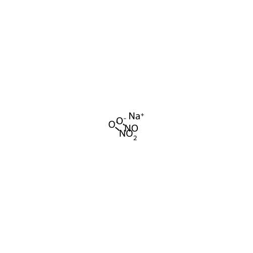 O=[N+]([O-])[O-].O=[NH+][O-].[Na+]